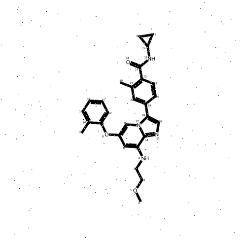 COCCNc1cc(Oc2ccccc2C)cn2c(-c3ccc(C(=O)NC4CC4)c(C)c3)cnc12